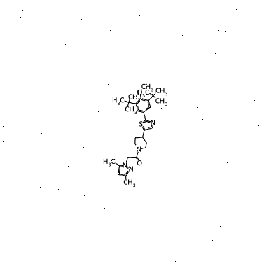 COc1c(C(C)(C)C)cc(-c2ncc(C3CCN(C(=O)Cn4nc(C)cc4C)CC3)s2)cc1C(C)(C)C